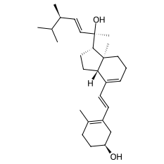 CC1=C(C=CC2=CCC[C@@]3(C)[C@H]2CC[C@@H]3[C@](C)(O)C=C[C@H](C)C(C)C)C[C@@H](O)CC1